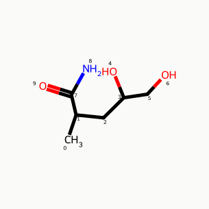 CC(CC(O)CO)C(N)=O